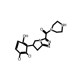 O=C(c1nnc2n1CC(c1c(O)ccc(Cl)c1Cl)C2)N1CCNCC1